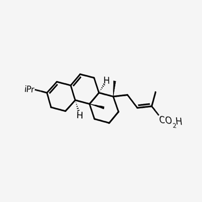 C/C(=C\C[C@]1(C)CCC[C@]2(C)[C@H]3CCC(C(C)C)=CC3=CC[C@@H]12)C(=O)O